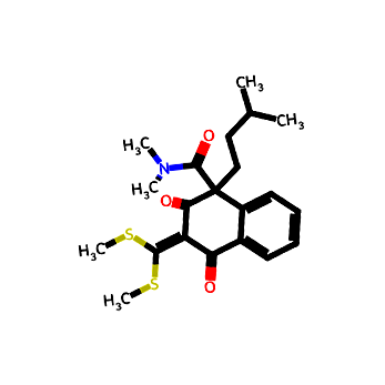 CSC(SC)=C1C(=O)c2ccccc2C(CCC(C)C)(C(=O)N(C)C)C1=O